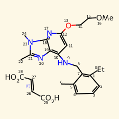 CCc1cccc(C)c1CNc1cc(OCCOC)nc2c1nc(C)n2C.O=C(O)/C=C/C(=O)O